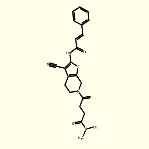 CN(C)C(=O)CCC(=O)N1CCc2c(sc(NC(=O)/C=C/c3ccccc3)c2C#N)C1